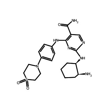 NC(=O)c1cnc(N[C@@H]2CCCC[C@@H]2N)nc1Nc1ccc(N2CCS(=O)(=O)CC2)cc1